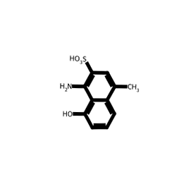 Cc1cc(S(=O)(=O)O)c(N)c2c(O)cccc12